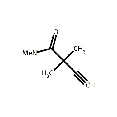 C#CC(C)(C)C(=O)NC